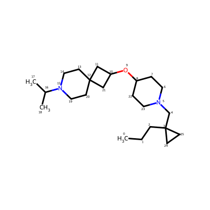 CCCC1(CN2CCC(OC3CC4(CCN(C(C)C)CC4)C3)CC2)CC1